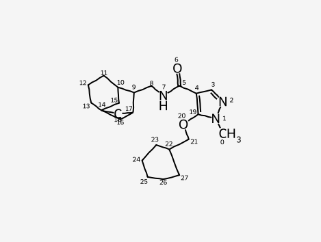 Cn1ncc(C(=O)NCC2C3CCCC4(C3)CC2C4)c1OCC1CCCCC1